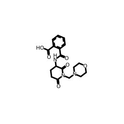 O=C(O)c1ccccc1C(=O)NC1CCC(=O)N(CN2CCOCC2)C1=O